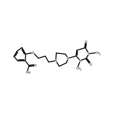 Cn1c(N2CCN(CCCOc3ccccc3C(=O)O)CC2)cc(=O)n(C)c1=O